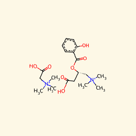 C[N+](C)(C)CC(=O)O.C[N+](C)(C)C[C@H](CC(=O)O)OC(=O)c1ccccc1O